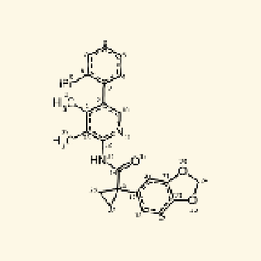 Cc1c(-c2ccccc2C(C)C)cnc(NC(=O)C2(c3ccc4c(c3)OCO4)CC2)c1C